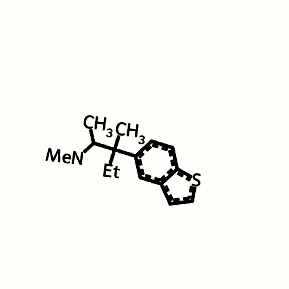 CCC(C)(c1ccc2sccc2c1)C(C)NC